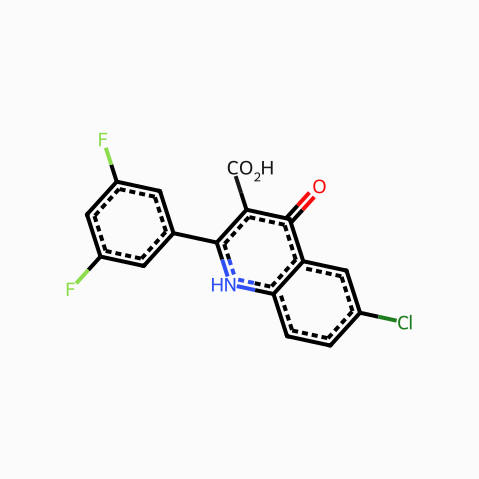 O=C(O)c1c(-c2cc(F)cc(F)c2)[nH]c2ccc(Cl)cc2c1=O